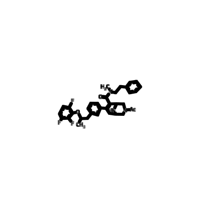 CC(=O)N1CC2CC(c3cccc(CC(C)Oc4c(F)ccc(F)c4F)c3)=C(C(=O)N(C)CCc3ccccc3)C(C1)N2